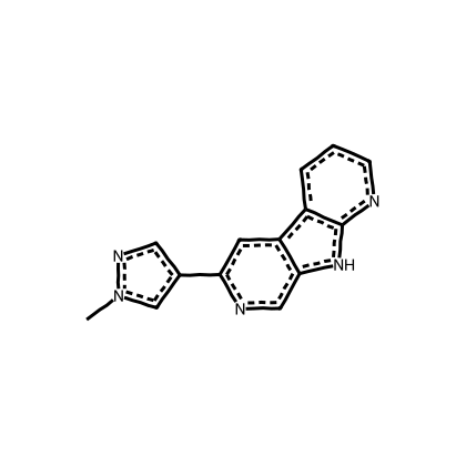 Cn1cc(-c2cc3c(cn2)[nH]c2ncccc23)cn1